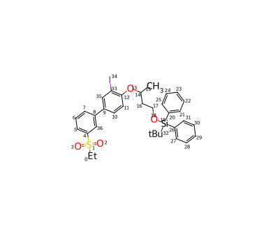 CCS(=O)(=O)c1cccc(-c2ccc(OC(C)CCO[Si](c3ccccc3)(c3ccccc3)C(C)(C)C)c(I)c2)c1